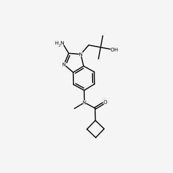 CN(C(=O)C1CCC1)c1ccc2c(c1)nc(N)n2CC(C)(C)O